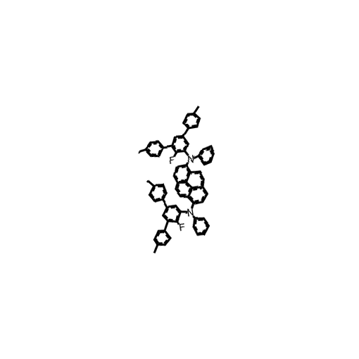 Cc1ccc(-c2cc(-c3ccc(C)cc3)c(F)c(N(c3ccccc3)c3ccc4ccc5c(N(c6ccccc6)c6cc(-c7ccc(C)cc7)cc(-c7ccc(C)cc7)c6F)ccc6ccc3c4c65)c2)cc1